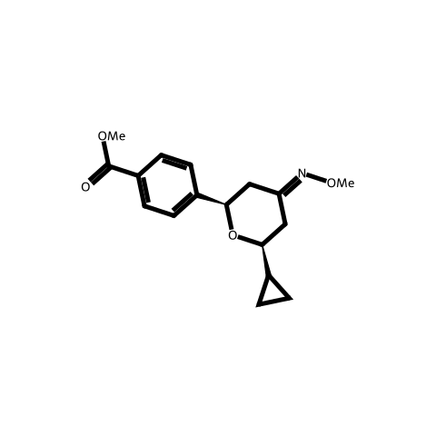 CON=C1C[C@@H](C2CC2)O[C@@H](c2ccc(C(=O)OC)cc2)C1